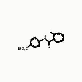 CCOC(=O)c1ccc(NC(=O)c2ccccc2I)cc1